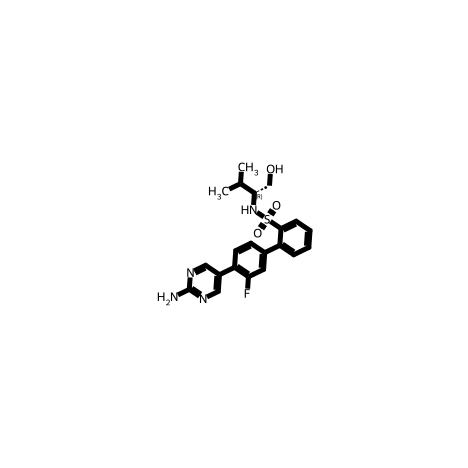 CC(C)[C@H](CO)NS(=O)(=O)c1ccccc1-c1ccc(-c2cnc(N)nc2)c(F)c1